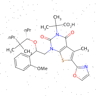 CCC[C@H](OC(Cn1c(=O)n(C(C)(C)C(=O)O)c(=O)c2c(C)c(-c3ncco3)sc21)c1ccccc1OC)C(C)(C)CCC